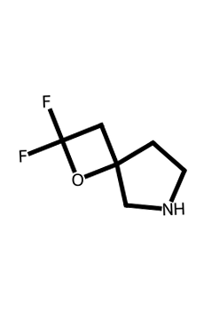 FC1(F)CC2(CCNC2)O1